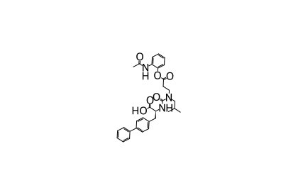 CC(=O)Nc1ccccc1OC(=O)CCN(CC(C)C)C(=O)N[C@@H](Cc1ccc(-c2ccccc2)cc1)C(=O)O